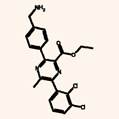 CCOC(=O)c1nc(-c2cccc(Cl)c2Cl)c(C)nc1-c1ccc(CN)cc1